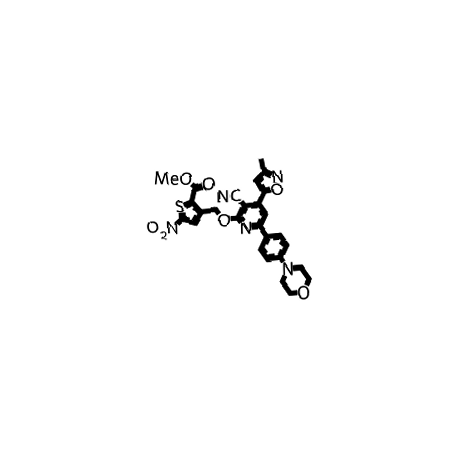 COC(=O)c1sc([N+](=O)[O-])cc1COc1nc(-c2ccc(N3CCOCC3)cc2)cc(-c2cc(C)no2)c1C#N